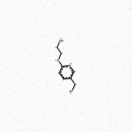 CC(=O)Cc1ccc(OCCO)nc1